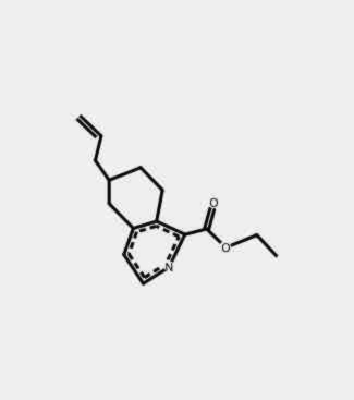 C=CCC1CCc2c(ccnc2C(=O)OCC)C1